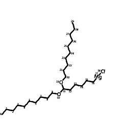 CCCCCCCCCCOC(CCCC[CH2][Mg][Cl])OCCCCCCCCCC